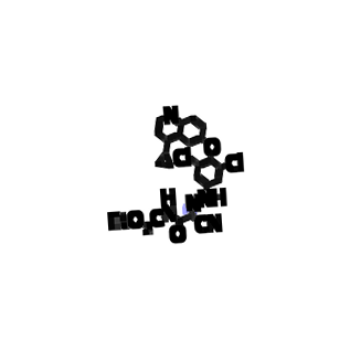 CCOC(=O)NC(=O)/C(C#N)=N/Nc1cc(Cl)c(Oc2ccc3nccc(C4CC4)c3c2)c(Cl)c1